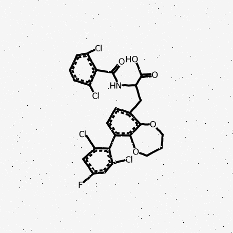 O=C(NC(Cc1ccc(-c2c(Cl)cc(F)cc2Cl)c2c1OCCCO2)C(=O)O)c1c(Cl)cccc1Cl